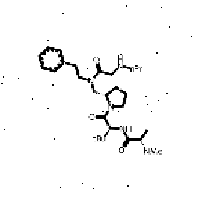 CCCNCC(=O)N(CCc1ccccc1)C[C@@H]1CCCN1C(=O)[C@@H](NC(=O)[C@H](C)NC)C(C)(C)C